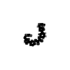 COCc1noc(C2=CCCN(OC(=O)C(=O)ON3CCC=C(c4nc(COC)no4)C3)C2)n1